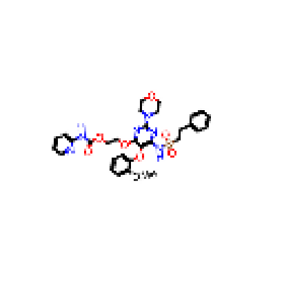 COc1ccccc1Oc1c(NS(=O)(=O)CCc2ccccc2)nc(N2CCOCC2)nc1OCCOC(=O)Nc1ccccn1